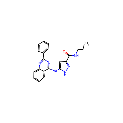 CCCNC(=O)c1cc(Nc2nc(-c3ccccc3)nc3ccccc23)[nH]n1